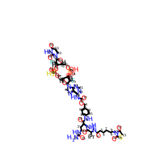 CC(C)C(NC(=O)CCCCCN1C(=O)CSC1=O)C(=O)NC(CCNC(N)=O)C(=O)Nc1ccc(COC(=O)Nc2ncnc3c2ncn3[C@@H]2O[C@@H]3COP(=O)(S)O[C@H]4[C@@H](F)[C@H](n5ccc(=O)[nH]c5=O)O[C@@H]4COP(=O)(O)O[C@H]3[C@H]2F)cc1